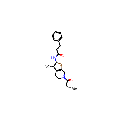 COCC(=O)N1CCC2=C(C1)SC(NC(=O)CCc1ccccc1)C2C#N